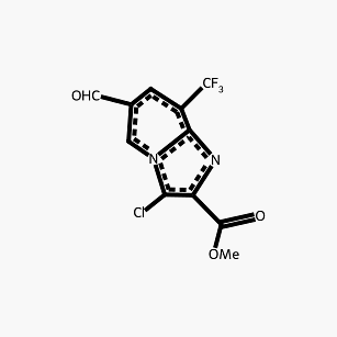 COC(=O)c1nc2c(C(F)(F)F)cc(C=O)cn2c1Cl